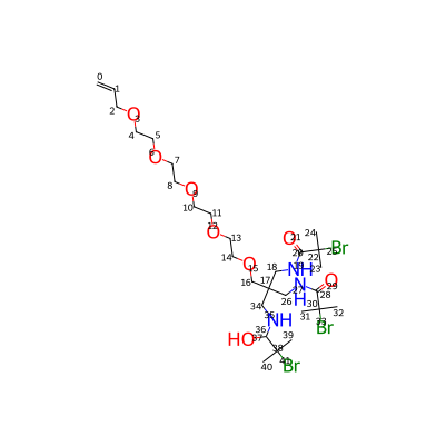 C=CCOCCOCCOCCOCCOCC(CNC(=O)C(C)(C)Br)(CNC(=O)C(C)(C)Br)CNC(O)C(C)(C)Br